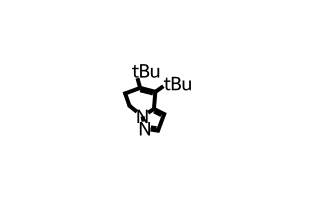 CC(C)(C)C1=C(C(C)(C)C)c2ccnn2CC1